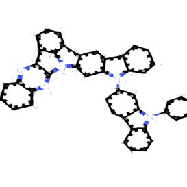 c1ccc(-n2c3ccccc3c3ccc(-n4c5ccccc5c5cc6c7cccc8c9nc%10ccccc%10nc9n(c6cc54)c78)cc32)cc1